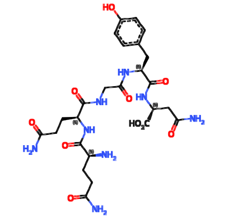 NC(=O)CC[C@H](NC(=O)[C@@H](N)CCC(N)=O)C(=O)NCC(=O)N[C@@H](Cc1ccc(O)cc1)C(=O)N[C@@H](CC(N)=O)C(=O)O